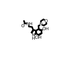 CC(=O)NCCc1c[nH]c2ccc(O)c(CN3CCOCC3)c12.Cl